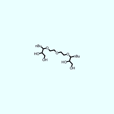 CCCCC(OCCOCCOC(CCCC)C(O)CO)C(O)CO